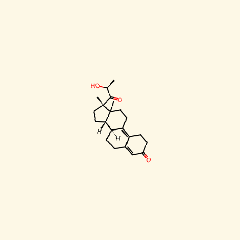 C[C@H](O)C(=O)[C@@]1(C)CC[C@H]2[C@@H]3CCC4=CC(=O)CCC4=C3CCC21C